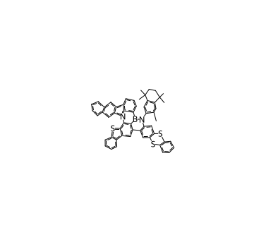 Cc1cc2c(cc1N1B3c4c(cc5c(sc6ccccc65)c4-n4c5cc6ccccc6cc5c5cccc3c54)-c3cc4c(cc31)Sc1ccccc1S4)C(C)(C)CCC2(C)C